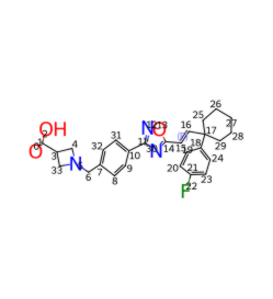 O=C(O)C1CN(Cc2ccc(-c3noc(/C=C/C4(c5ccc(F)cc5)CCCCC4)n3)cc2)C1